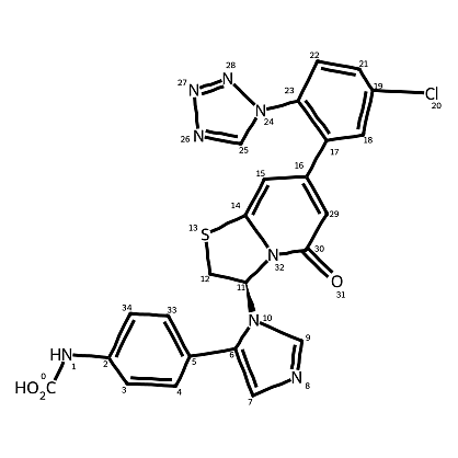 O=C(O)Nc1ccc(-c2cncn2[C@H]2CSc3cc(-c4cc(Cl)ccc4-n4cnnn4)cc(=O)n32)cc1